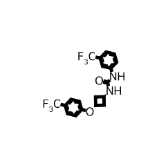 O=C(Nc1cccc(C(F)(F)F)c1)N[C@H]1C[C@@H](Oc2ccc(C(F)(F)F)cc2)C1